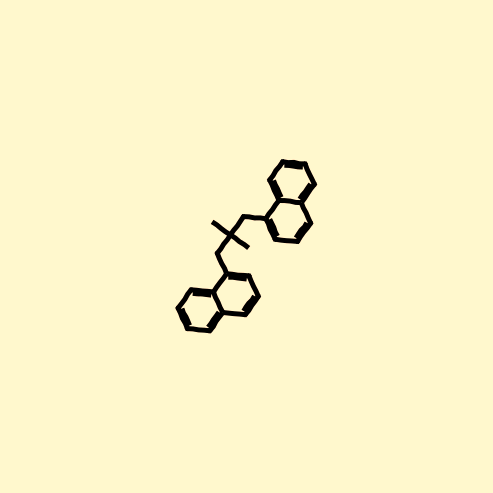 CC(C)(Cc1cccc2ccccc12)Cc1cccc2ccccc12